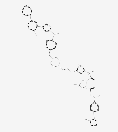 Cc1ncsc1-c1ccc([C@H](C)NC(=O)[C@@H]2C[C@@H](O)CN2C(=O)[C@@H](c2cc(OCCN3CCN(Cc4ccc(C(C)n5cc(-c6cc(-c7ccccc7O)nnc6N)cn5)cc4)CC3)no2)C(C)C)cc1